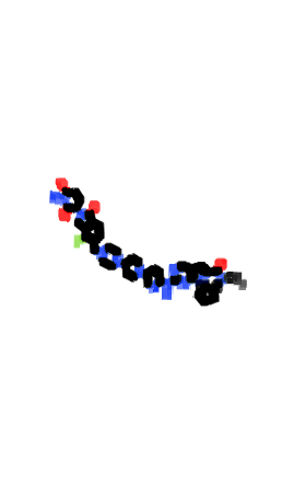 CN(C)C(=O)c1cc2cnc(Nc3ccc(N4CCC(N5CCN(Cc6ccc7c(c6F)CN(C6CCC(=O)NC6=O)C7=O)CC5)CC4)cn3)nc2n1C1CCCC1